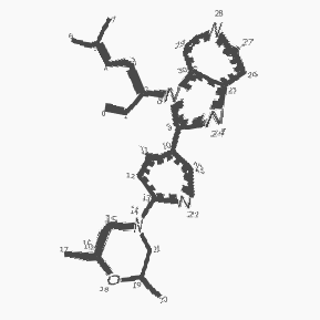 C=C/C(=C\C=C(C)C)n1c(-c2ccc(N3CC(C)OC(C)C3)nc2)nc2ccncc21